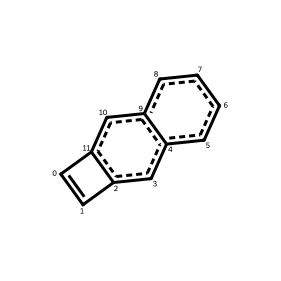 C1=Cc2cc3ccccc3cc21